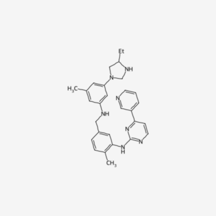 CCC1CN(c2cc(C)cc(NCc3ccc(C)c(Nc4nccc(-c5cccnc5)n4)c3)c2)CN1